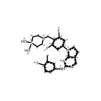 Cc1cc(Nc2ncc3ccn(-c4cc(F)c(CN5CCS(O)(O)CC5)c(F)c4)c3n2)ccc1F